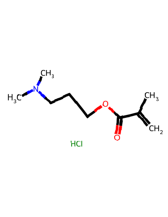 C=C(C)C(=O)OCCCN(C)C.Cl